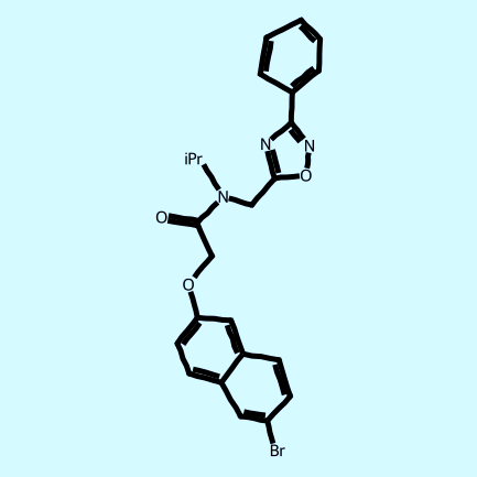 CC(C)N(Cc1nc(-c2ccccc2)no1)C(=O)COc1ccc2cc(Br)ccc2c1